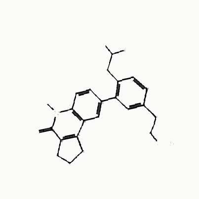 CCn1c(=O)c2c(c3cc(-c4cc(CCC(=O)O)ccc4CC(F)F)ccc31)CCC2